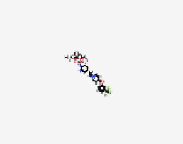 CC(C)(C)OC(=O)N[C@H]1CC[C@H](CCN2CCC(Oc3cccc(C(F)(F)F)c3)CC2)CC1